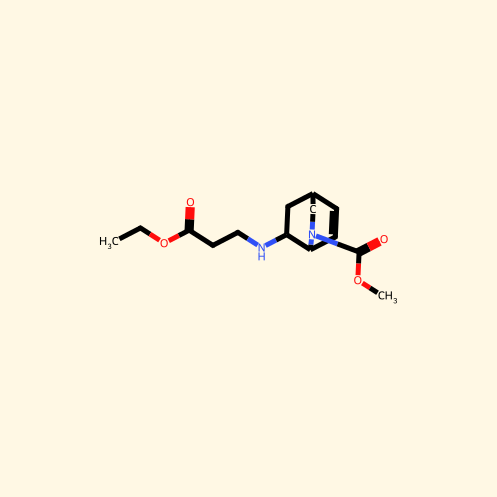 CCOC(=O)CCNC1CC2C=CC1N(C(=O)OC)C2